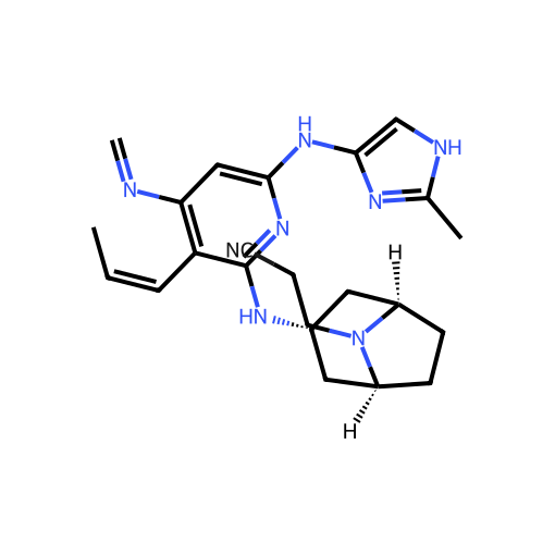 C=Nc1cc(Nc2c[nH]c(C)n2)nc(N[C@@H]2C[C@H]3CC[C@@H](C2)N3CCC#N)c1/C=C\C